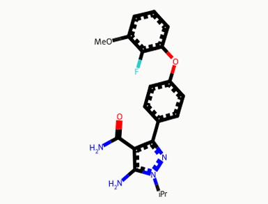 COc1cccc(Oc2ccc(-c3nn(C(C)C)c(N)c3C(N)=O)cc2)c1F